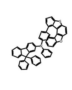 c1ccc(N(c2ccc(-c3cccc4sc5ccc6oc7ccccc7c6c5c34)cc2)c2ccc3c(c2)C(c2ccccc2)(c2ccccc2)c2ccccc2-3)cc1